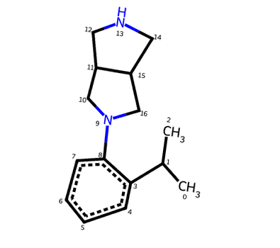 CC(C)c1ccccc1N1CC2CNCC2C1